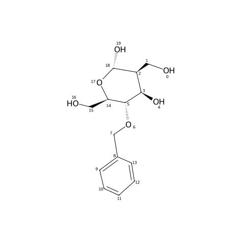 OC[C@H]1[C@@H](O)[C@H](OCc2ccccc2)[C@@H](CO)O[C@@H]1O